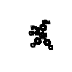 CC(C)Oc1cc(C(C)(C)C)ccc1C1=N[C@@H](c2ccc(Cl)cc2)[C@@H](c2ccc(Cl)cc2)N1C=O